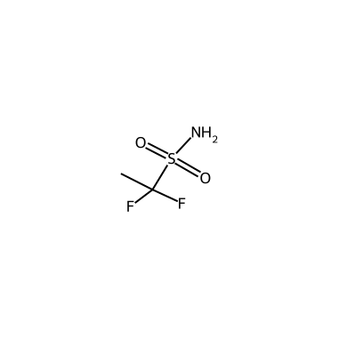 CC(F)(F)S(N)(=O)=O